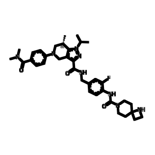 CC(C)n1nc(C(=O)NCc2ccc(NC(=O)N3CCC4(CCN4)CC3)c(F)c2)c2c1[C@@H](C)CN(c1ccc(C(=O)N(C)C)cc1)C2